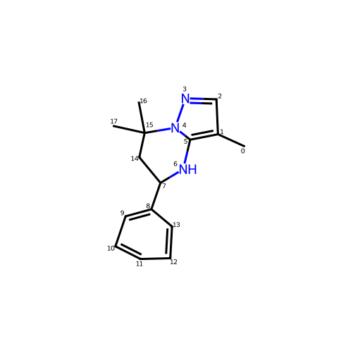 Cc1cnn2c1NC(c1ccccc1)CC2(C)C